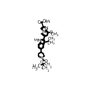 COc1cc(-c2[nH]c3ccc(C4CCN(C(=O)OC(C)(C)C)CC4)cc3c2C(C)C)cn2cc(C(=O)O)nc12